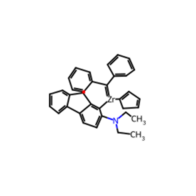 CCN(CC)c1ccc2c([c]1[Zr]([C]1=CC=CC1)=[C](c1ccccc1)c1ccccc1)Cc1ccccc1-2